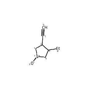 C#CC1C[S+]([O-])CC1CC